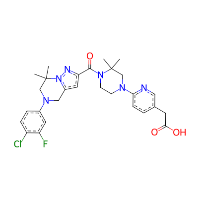 CC1(C)CN(c2ccc(CC(=O)O)cn2)CCN1C(=O)c1cc2n(n1)C(C)(C)CN(c1ccc(Cl)c(F)c1)C2